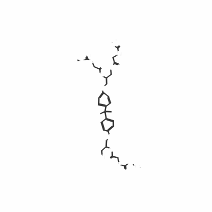 CC(C)(C)OC(=O)NCC(=O)OCC(COc1ccc(C(C)(C)c2ccc(OCC(CCl)OC(=O)CNC(=O)OC(C)(C)C)cc2)cc1)OC(=O)CNC(=O)OC(C)(C)C